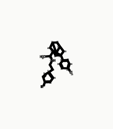 CC(NCCc1ccc(Br)cc1)C12CC3CC(CC(c4ccc(Cl)cc4)(C3)C1)C2